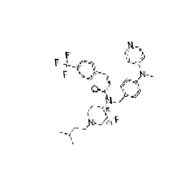 CC(C)CCN1CC[C@H](N(Cc2ccc(N(C)c3ccncc3)cc2)C(=O)C=Cc2ccc(C(F)(F)F)cc2)[C@H](F)C1